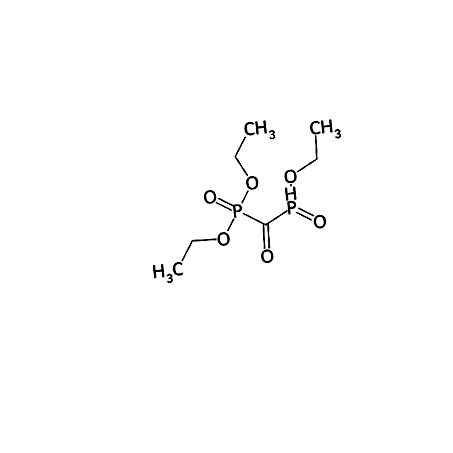 CCO[PH](=O)C(=O)P(=O)(OCC)OCC